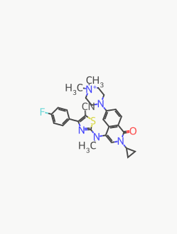 CN(c1nc(-c2ccc(F)cc2)c(C#N)s1)c1cn(C2CC2)c(=O)c2ccc(N3CC[N+](C)(C)CC3)cc12